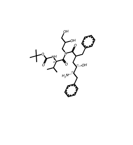 CC(C)[C@@H](NC(=O)OC(C)(C)C)C(=O)N(CC(O)CO)C(=O)C(Cc1ccccc1)C[C@H](O)[C@@H](N)Cc1ccccc1